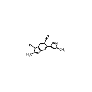 Cc1cc2cc(-c3cnn(C)c3)c(C#N)cc2n1S